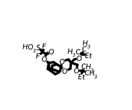 CCC(C)(C)OCC1(COC(C)(C)CC)COC2(OC1)C1CC3CC2CC(OC(=O)C(F)(F)S(=O)(=O)O)(C3)C1